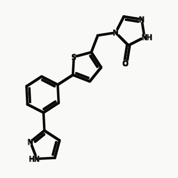 O=c1[nH]ncn1Cc1ccc(-c2cccc(-c3cc[nH]n3)c2)s1